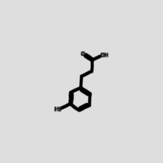 O=C(O)CCc1cccc(S)c1